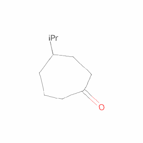 CC(C)C1CCCC(=O)CC1